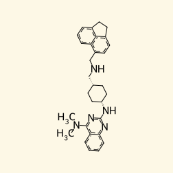 CN(C)c1nc(N[C@H]2CC[C@@H](CNCc3ccc4c5c(cccc35)CC4)CC2)nc2ccccc12